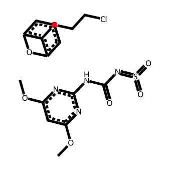 COc1cc(OC)nc(NC(=O)N=S(=O)=O)n1.ClCCOc1c2cccc1O2